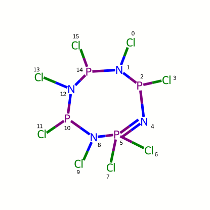 ClN1P(Cl)N=P(Cl)(Cl)N(Cl)P(Cl)N(Cl)P1Cl